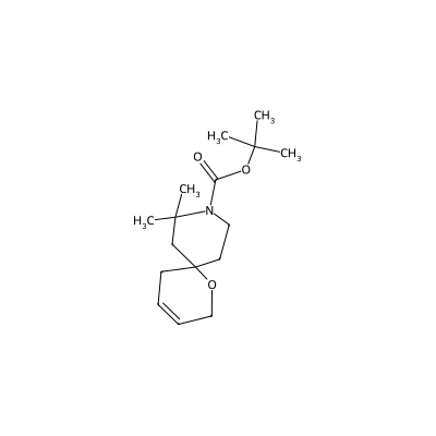 CC(C)(C)OC(=O)N1CCC2(CC=CCO2)CC1(C)C